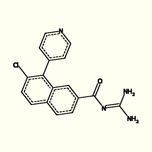 NC(N)=NC(=O)c1ccc2ccc(Cl)c(-c3ccncc3)c2c1